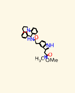 CON(C)C(=O)Cc1c[nH]c2ccc(CC(=O)NC(c3ccccc3)c3ccccc3N3CCCCC3)cc12